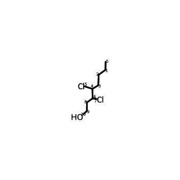 CCCCC(Cl)C(Cl)CCO